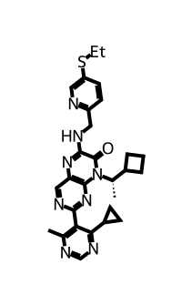 CCSc1ccc(CNc2nc3cnc(-c4c(C)ncnc4C4CC4)nc3n([C@@H](C)C3CCC3)c2=O)nc1